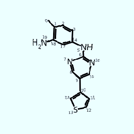 Cc1ccc(Nc2ncc(-c3ccsc3)cn2)cc1N